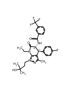 CCN1C(=O)[C@H](NC(=O)c2cccc(C(F)(F)F)c2)[C@@H](c2ccc(F)cc2)c2c(C)nn(CCC(C)(C)O)c21